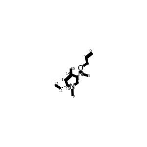 C=CCON(C)[C@H]1CN(C)[C@H](CC)C=C1C